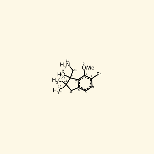 COc1c(F)ccc2c1C(O)(CN)C(C)(C)C2